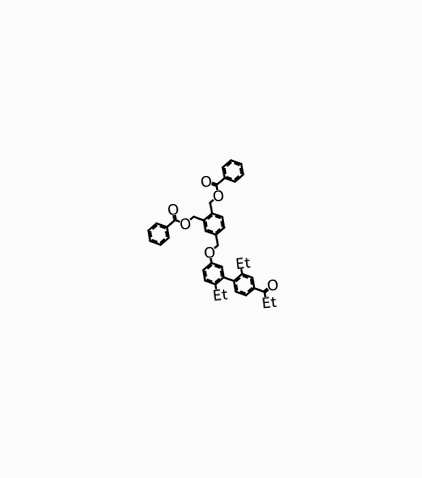 CCC(=O)c1ccc(-c2cc(OCc3ccc(COC(=O)c4ccccc4)c(COC(=O)c4ccccc4)c3)ccc2CC)c(CC)c1